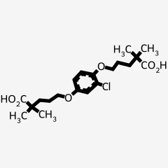 CC(C)(CCCOc1ccc(OCCCC(C)(C)C(=O)O)c(Cl)c1)C(=O)O